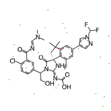 CN(C)C=NC(=O)c1cc(C(CO)N2C(=O)[C@@](CC(C)(C)C)(c3ccc(-c4cnn(C(F)F)c4)cc3F)NC2=NC(=O)O)ccc1Cl